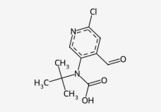 CC(C)(C)N(C(=O)O)c1cnc(Cl)cc1C=O